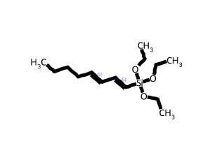 CCCC/C=C/C=C/[Si](OCC)(OCC)OCC